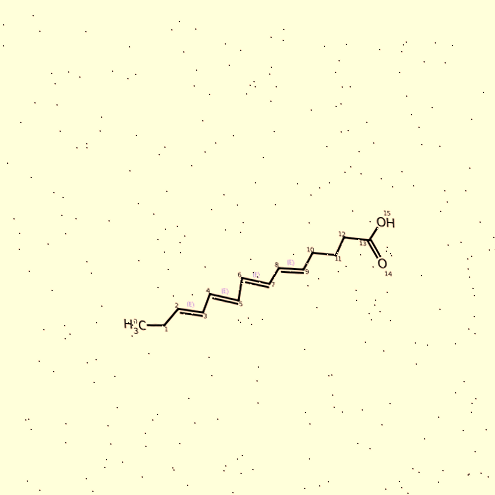 CC/C=C/C=C/C=C/C=C/CCCC(=O)O